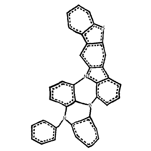 c1ccc(N2c3ccccc3B3c4c2cccc4-n2c4cc5c(cc4c4cccc3c42)sc2ccccc25)cc1